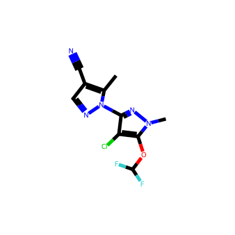 Cc1c(C#N)cnn1-c1nn(C)c(OC(F)F)c1Cl